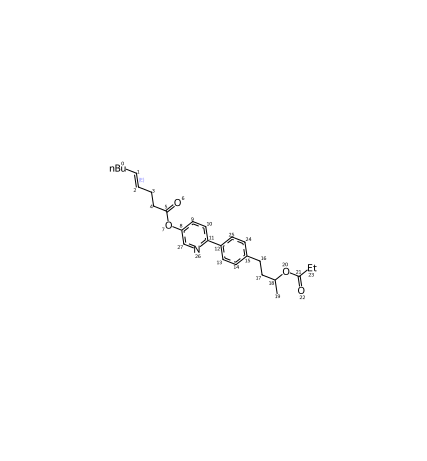 CCCC/C=C/CCC(=O)Oc1ccc(-c2ccc(CCC(C)OC(=O)CC)cc2)nc1